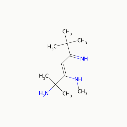 CN/C(=C\C(=N)C(C)(C)C)C(C)(C)N